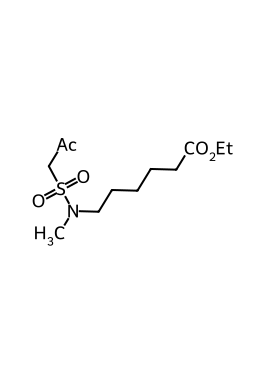 CCOC(=O)CCCCCN(C)S(=O)(=O)CC(C)=O